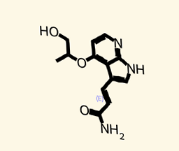 CC(CO)Oc1ccnc2[nH]cc(/C=C/C(N)=O)c12